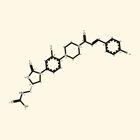 O=C(S)NC[C@H]1CN(c2ccc(N3CCN(C(=O)/C=C/c4ccc(F)cc4)CC3)c(F)c2)C(=O)O1